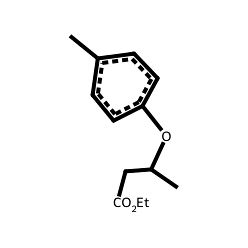 CCOC(=O)CC(C)Oc1ccc(C)cc1